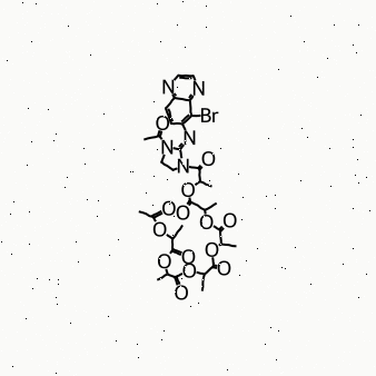 CC(=O)OC(C)C(=O)OC(C)C(=O)OC(C)C(=O)OC(C)C(=O)OC(C)C(=O)OC(C)C(=O)N1CCN(C(C)=O)/C1=N\c1ccc2nccnc2c1Br